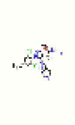 N#Cc1nn(-c2c(Cl)cc(C(F)(F)F)cc2Cl)c(NCc2ccncc2)c1C1(C(N)=O)CC1